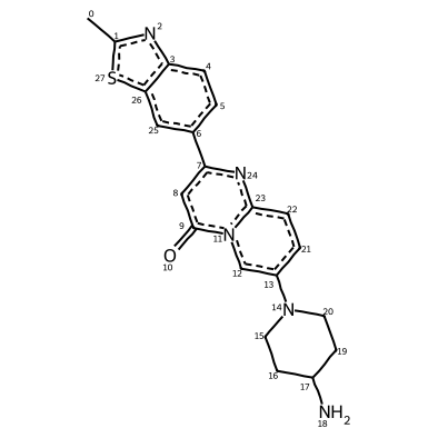 Cc1nc2ccc(-c3cc(=O)n4cc(N5CCC(N)CC5)ccc4n3)cc2s1